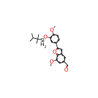 COc1ccc(-c2cc3cc(C=O)cc(OC)c3o2)cc1O[SiH2]C(C)(C)C(C)C